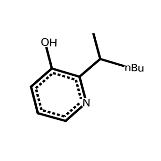 CCCCC(C)c1ncccc1O